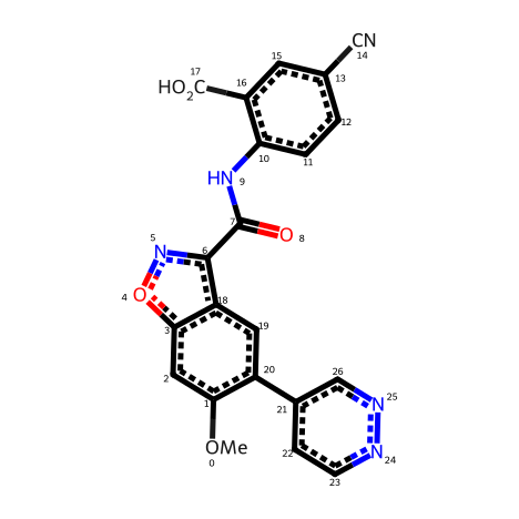 COc1cc2onc(C(=O)Nc3ccc(C#N)cc3C(=O)O)c2cc1-c1ccnnc1